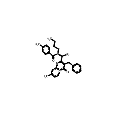 Cc1ccc(C(=O)N(CCCN)C(c2nc3cc(C)ccn3c(=O)c2Cc2ccccc2)C(C)C)cc1